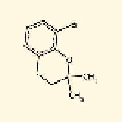 CC1(C)C[CH]c2cccc(Br)c2O1